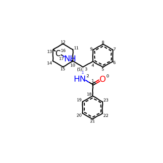 O=C(N[C@@H](c1ccccc1)C12CCC(CC1)CN2)c1ccccc1